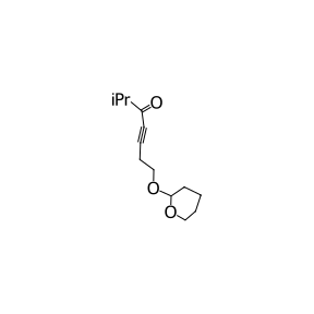 CC(C)C(=O)C#CCCOC1CCCCO1